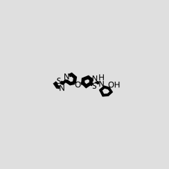 O[C@@H]1CCCC[C@H]1Nc1nc2ccc(Oc3ccnc(-c4nccs4)c3)cc2s1